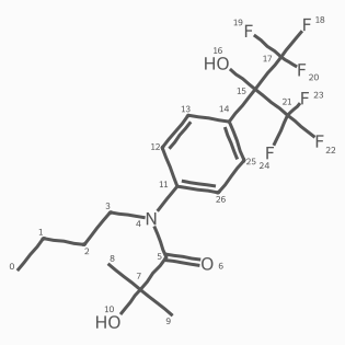 CCCCN(C(=O)C(C)(C)O)c1ccc(C(O)(C(F)(F)F)C(F)(F)F)cc1